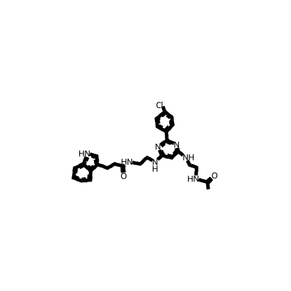 CC(=O)NCCNc1cc(NCCNC(=O)CCc2c[nH]c3ccccc23)nc(-c2ccc(Cl)cc2)n1